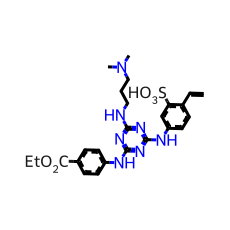 C=Cc1ccc(Nc2nc(NCCCN(C)C)nc(Nc3ccc(C(=O)OCC)cc3)n2)cc1S(=O)(=O)O